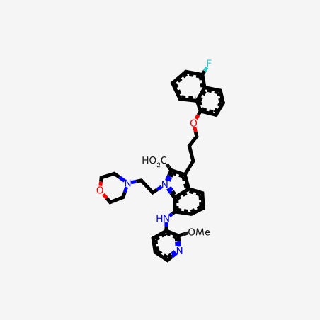 COc1ncccc1Nc1cccc2c(CCCOc3cccc4c(F)cccc34)c(C(=O)O)n(CCN3CCOCC3)c12